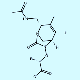 CC(=O)NC[C@@H]1C(C)=C[C@@H]2CN1C(=O)N2O[C@@H](F)C(=O)[O-].[Li+]